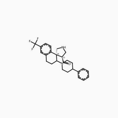 O=C[C@@H]1CNC[C@]12c1ccc(C(F)(F)F)cc1CCC2N1CCC(c2ccccc2)CC1